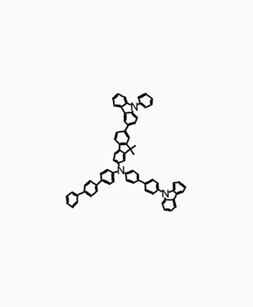 CC1(C)c2cc(-c3ccc4c(c3)c3ccccc3n4-c3ccccc3)ccc2-c2ccc(N(c3ccc(-c4ccc(-c5ccccc5)cc4)cc3)c3ccc(-c4ccc(-n5c6ccccc6c6ccccc65)cc4)cc3)cc21